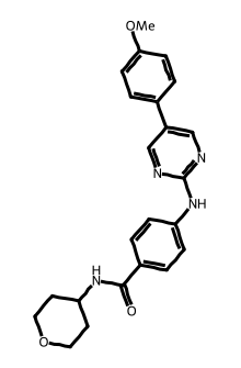 COc1ccc(-c2cnc(Nc3ccc(C(=O)NC4CCOCC4)cc3)nc2)cc1